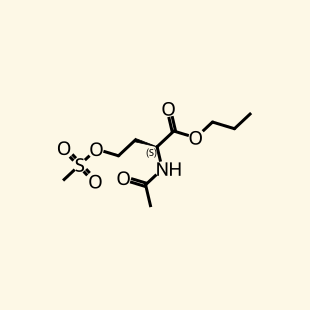 CCCOC(=O)[C@H](CCOS(C)(=O)=O)NC(C)=O